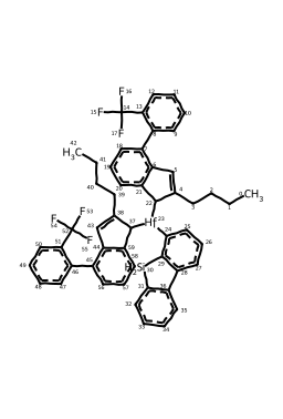 CCCCC1=Cc2c(-c3ccccc3C(F)(F)F)cccc2[CH]1[Hf]([c]1cccc2c1[SiH2]c1ccccc1-2)[CH]1C(CCCC)=Cc2c(-c3ccccc3C(F)(F)F)cccc21